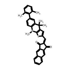 Cc1cccc(C)c1-c1ccc2c(c1)C(C)(C)c1cc(C=C3C(=O)c4cc5ccccc5cc4C3=O)sc1N2C